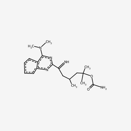 CC(CC(=N)c1nc(N(C)C)c2ccccc2n1)CC(C)(C)OC(N)=O